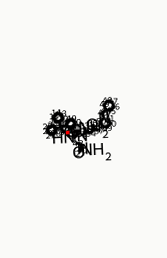 NC(=O)CC[C@H](NC(=O)CC(c1ccccc1)(c1ccccc1)c1ccccc1)C(=O)NC(N)CC(=O)C[C@H]1CCCN(CC2CCCCC2)C1